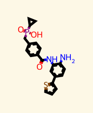 Nc1ccc(-c2cccs2)cc1NC(=O)c1ccc(CP(=O)(O)C2CC2)cc1